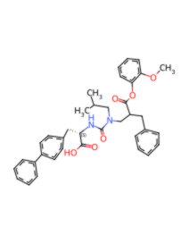 COc1ccccc1OC(=O)C(Cc1ccccc1)CN(CC(C)C)C(=O)N[C@@H](Cc1ccc(-c2ccccc2)cc1)C(=O)O